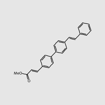 COC(=O)C=Cc1ccc(-c2ccc(C=Cc3ccccc3)cc2)cc1